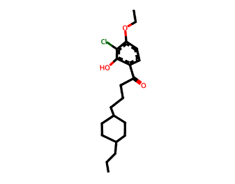 CCCC1CCC(CCCC(=O)c2ccc(OCC)c(Cl)c2O)CC1